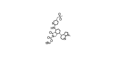 Cn1ccc2c(-c3ccc(Nc4ccc(CS(C)(=O)=O)cn4)c4c3CN(C(=O)OC(C)(C)C)C4=O)ccnc21